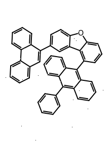 c1ccc(-c2c3ccccc3c(-c3cccc4oc5ccc(-c6cc7ccccc7c7ccccc67)cc5c34)c3ccccc23)cc1